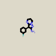 Nc1nn2cccnc2c1-c1cccc(F)c1